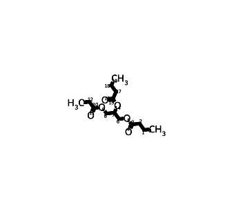 CCCC(=O)OCC(COC(=O)CC)OC(=O)CCC